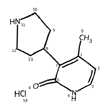 Cc1cc[nH]c(=O)c1C1CCNCC1.Cl